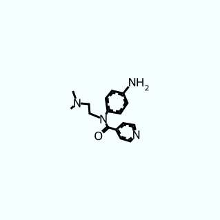 CN(C)CCN(C(=O)c1ccncc1)c1ccc(N)cc1